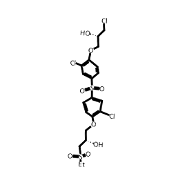 CCS(=O)(=O)C[C@@H](O)COc1ccc(S(=O)(=O)c2ccc(OC[C@H](O)CCl)c(Cl)c2)cc1Cl